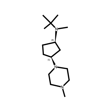 CN1CCN([C@H]2CC[C@@H](N(C)C(C)(C)C)C2)CC1